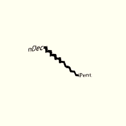 [CH2]CCCCCCCCCCCCCCCCCCCCCCCC(C)CC[CH2]